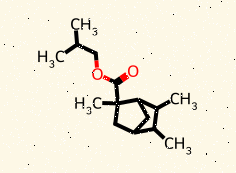 CC(C)COC(=O)C1(C)CC2CC1C(C)C2C